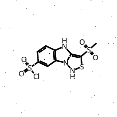 CS(=O)(=O)C1=C2Nc3ccc(S(=O)(=O)Cl)cc3N2NS1